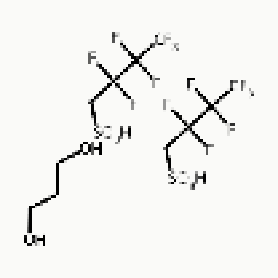 O=S(=O)(O)CC(F)(F)C(F)(F)C(F)(F)F.O=S(=O)(O)CC(F)(F)C(F)(F)C(F)(F)F.OCCCO